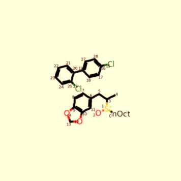 CCCCCCCC[S+]([O-])C(C)Cc1ccc2c(c1)OCO2.Clc1ccc(-c2ccccc2Cl)cc1